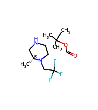 CC(C)(C)OC=O.C[C@@H]1CNCCN1CC(F)(F)F